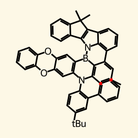 Cc1cc2c3c(c1)N(c1ccc(C(C)(C)C)cc1-c1ccccc1)c1cc4c(cc1B3n1c3c(c5cccc-2c51)C(C)(C)c1ccccc1-3)Oc1ccccc1O4